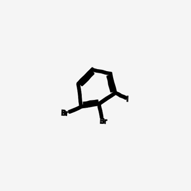 Brc1c[c]cc(I)c1Br